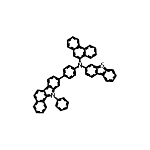 c1ccc(-n2c3cc(-c4ccc(N(c5ccc6c(c5)sc5ccccc56)c5cc6ccccc6c6ccccc56)cc4)ccc3c3ccc4ccccc4c32)cc1